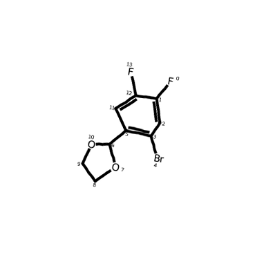 Fc1cc(Br)c(C2OCCO2)cc1F